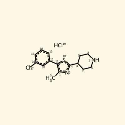 Cc1nc(C2CCNCC2)sc1-c1cccc(Cl)c1.Cl